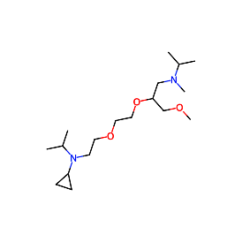 COCC(CN(C)C(C)C)OCCOCCN(C(C)C)C1CC1